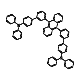 c1ccc(N(c2ccccc2)c2ccc(-c3cccc(-c4c5ccccc5c(-c5cccc(-c6ccc(N(c7ccccc7)c7ccccc7)cc6)c5)c5ccccc45)c3)cc2)cc1